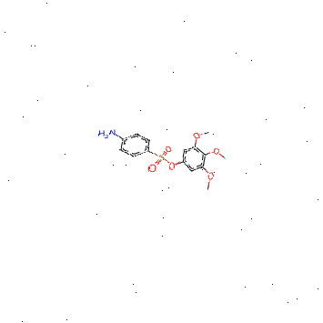 COc1cc(OS(=O)(=O)c2ccc(N)cc2)cc(OC)c1OC